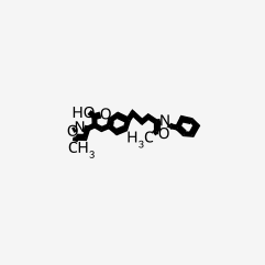 Cc1cc(C(Cc2ccc(CCCc3nc(-c4ccccc4)oc3C)cc2)C(=O)O)no1